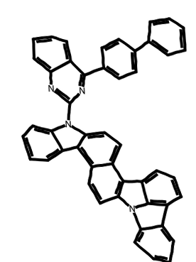 c1ccc(-c2ccc(-c3nc(-n4c5ccccc5c5c6ccc7c(c6ccc54)c4cccc5c6ccccc6n7c54)nc4ccccc34)cc2)cc1